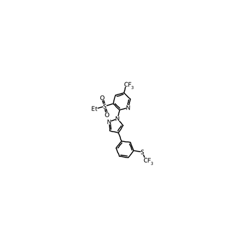 CCS(=O)(=O)c1cc(C(F)(F)F)cnc1-n1cc(-c2cccc(SC(F)(F)F)c2)cn1